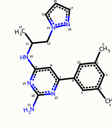 Cc1cc(C)cc(-c2cc(NC(C)Cn3cccn3)nc(N)n2)c1